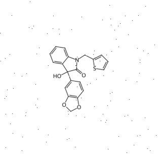 O=C1N(Cc2cccs2)c2ccccc2C1(O)c1ccc2c(c1)OCO2